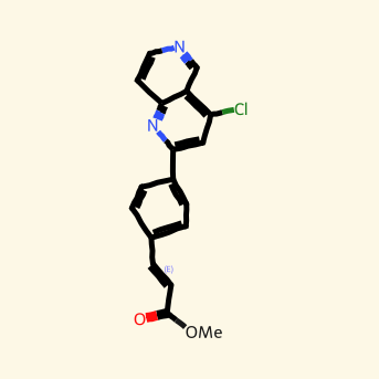 COC(=O)/C=C/c1ccc(-c2cc(Cl)c3cnccc3n2)cc1